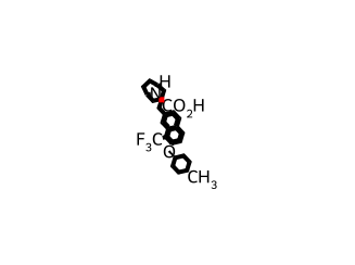 C[C@H]1CC[C@@H](Oc2ccc3ccc(CCN4C5CC[C@H]4CC(C(=O)O)C5)cc3c2C(F)(F)F)CC1